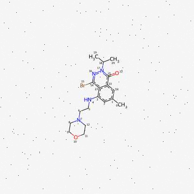 Cc1cc(NCCN2CCOCC2)c2c(Br)nn(C(C)C)c(=O)c2c1